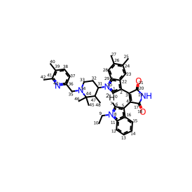 [2H]c1c(C2=C(c3c(C)n(CC)c4ccccc34)C(=O)NC2=O)c2cc(C)c(C)cc2n1C1CCN(Cc2ccc(C)c(C)n2)C(C)(C)C1C